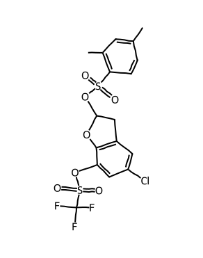 Cc1ccc(S(=O)(=O)OC2Cc3cc(Cl)cc(OS(=O)(=O)C(F)(F)F)c3O2)c(C)c1